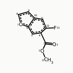 COC(=O)c1cc2occc2cc1F